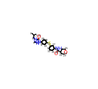 CC(C)Cn1cnn(-c2ccc(Sc3cccc(NC(=O)C4CCOCC4)c3)cc2)c1=O